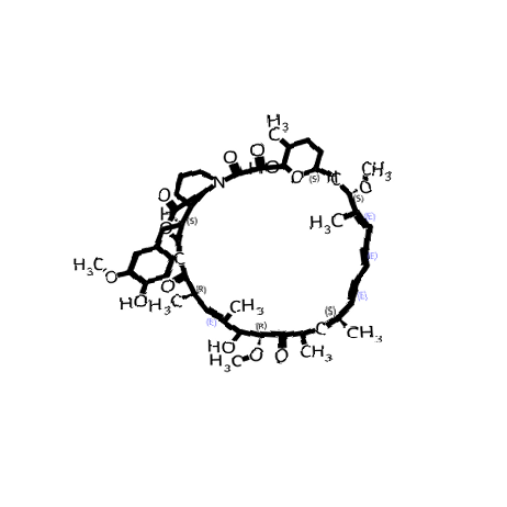 COC1CC(C[C@@H]2C3CC(=O)[C@H](C)/C=C(\C)C(O)[C@@H](OC)C(=O)C(C)C[C@H](C)/C=C/C=C/C=C(\C)[C@@H](OC)C[C@@H]4CCC(C)C(O)(O4)C(=O)C(=O)N4CCCC2C4C(=O)O3)CCC1O